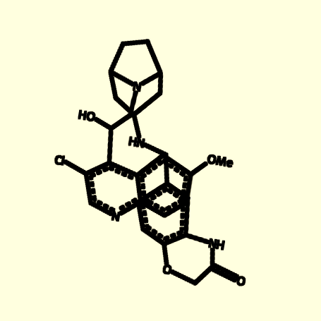 COc1ccc2ncc(Cl)c(C(O)CN3C4CCC3CC(NCc3ccc5c(c3)NC(=O)CO5)C4)c2c1